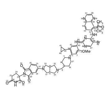 COc1cc(N2CCC(CN3CC4CN(c5ccc6c(c5)C(=O)N(C5CCC(=O)NC5=O)C6=O)CC4C3)CC2)c(C2CC2)cc1Nc1ncc(Br)c(Nc2ccc3nccnc3c2P(C)(C)=O)n1